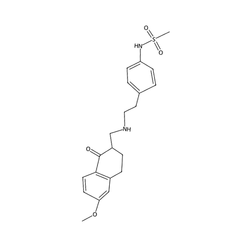 COc1ccc2c(c1)CCC(CNCCc1ccc(NS(C)(=O)=O)cc1)C2=O